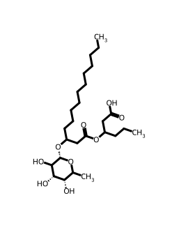 CCCCCCCCCCCC(CC(=O)OC(CCC)CC(=O)O)O[C@@H]1OC(C)[C@H](O)[C@H](O)C1O